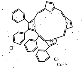 C1=Cc2cc3[nH]c(c(-c4ccccc4)c4nc(cc5ccc(cc1n2)[nH]5)C=C4c1ccccc1)c(-c1ccccc1)c3-c1ccccc1.[Cl-].[Cl-].[Co+2]